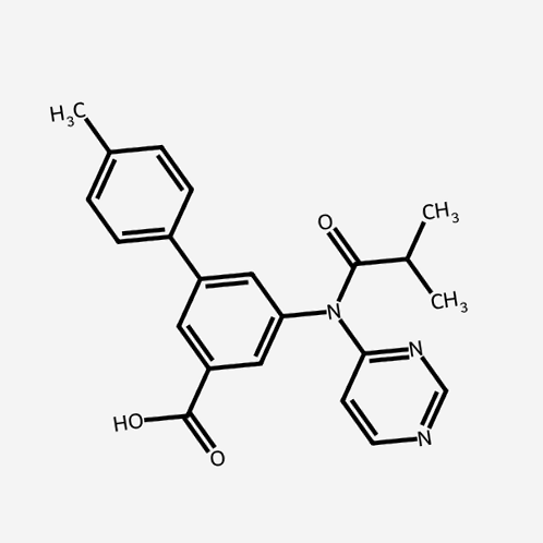 Cc1ccc(-c2cc(C(=O)O)cc(N(C(=O)C(C)C)c3ccncn3)c2)cc1